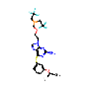 CC(C)Oc1cccc(Sc2nc(N)nc3c2ncn3CCOCP(CC(F)(F)F)CC(F)(F)F)c1